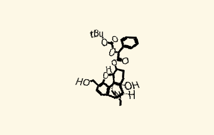 CN1CC[C@]23c4c5ccc(CO)c4O[C@H]2C(OC(=O)[C@@H](OC(=O)OC(C)(C)C)c2ccccc2)CC[C@@]3(O)[C@H]1C5